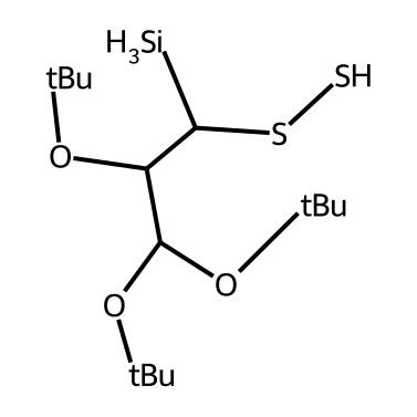 CC(C)(C)OC(OC(C)(C)C)C(OC(C)(C)C)C([SiH3])SS